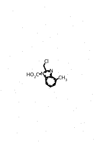 Cc1cccc2c1nc(CCl)n2C(=O)O